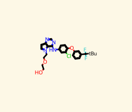 CC(C)(C)C(F)(F)c1cccc(Oc2ccc(Nc3ncnc4ccn(CCOCCO)c34)cc2Cl)c1